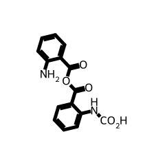 Nc1ccccc1C(=O)OC(=O)c1ccccc1NC(=O)O